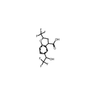 O=C(O)C1CC(C(F)(F)F)Oc2ccc(C(O)C(F)(F)F)cc21